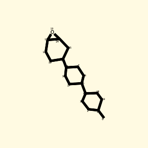 CC1CCC(C2CCC(C3CCC4OC4C3)CC2)CC1